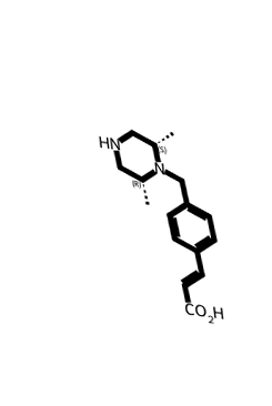 C[C@@H]1CNC[C@H](C)N1Cc1ccc(C=CC(=O)O)cc1